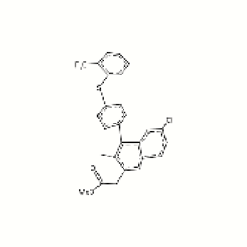 COC(=O)Cc1cc2ccc(Cl)cc2c(-c2ccc(Sc3ccccc3C(F)(F)F)cc2)c1C